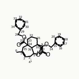 CC1=C[C@@H](C)[C@@H]2OC(=O)CC3(C(=O)OCc4ccccc4)CCCC(C(=O)OCc4ccccc4)(C1)C23